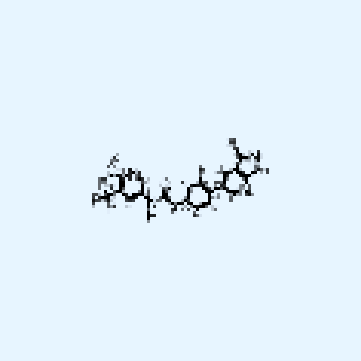 COc1ncc(NC(=O)Cc2ccc(-c3cnc4c(c3)C(C)=NC4)c(F)c2)cc1C(F)(F)F